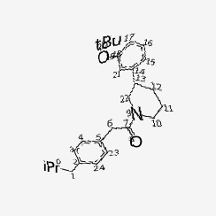 CC(C)Cc1ccc(CC(=O)N2CCCC(c3cccc(OC(C)(C)C)c3)C2)cc1